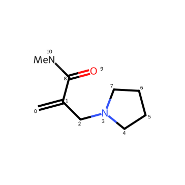 C=C(CN1CCCC1)C(=O)NC